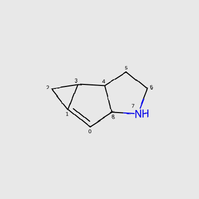 C1=C2CC2C2CCNC12